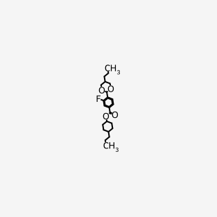 CCCC1CCC(OC(=O)c2ccc(C3OCC(CCC)CO3)c(F)c2)CC1